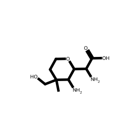 CC1(CO)CCOC(C(N)C(=O)O)C1N